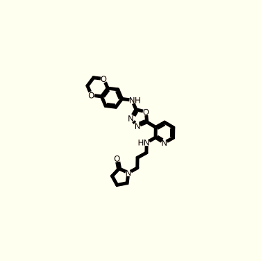 O=C1CCCN1CCCNc1ncccc1-c1nnc(Nc2ccc3c(c2)OCCO3)o1